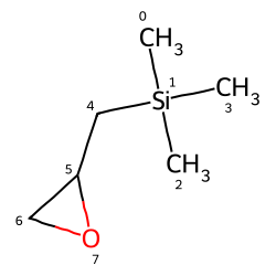 C[Si](C)(C)CC1CO1